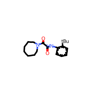 CC(C)(C)c1ccccc1NC(=O)C(=O)N1CCCCCCC1